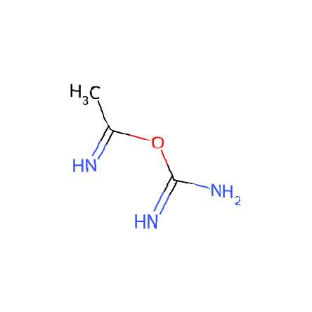 CC(=N)OC(=N)N